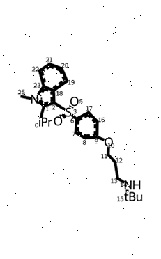 CC(C)c1c(S(=O)(=O)c2ccc(OCCCNC(C)(C)C)cc2)c2ccccc2n1C